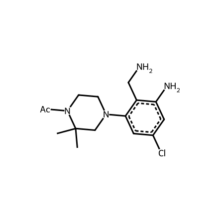 CC(=O)N1CCN(c2cc(Cl)cc(N)c2CN)CC1(C)C